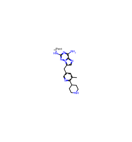 CCC[C@H](C)Nc1nc(N)c2ncc(Cc3cnc(C4CCNCC4)c(C)c3)n2n1